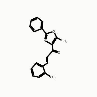 Cc1ccccc1C=CC(=O)c1nc(-c2ccccc2)oc1C